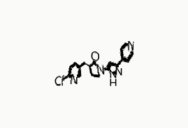 O=C1[C@H](Cc2ccc(Cl)nc2)CCN1c1cc(-c2ccncc2)n[nH]1